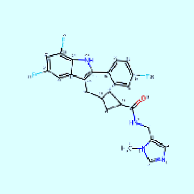 Cn1cncc1CNC(=O)C1CC(Cc2c(-c3ccc(F)cc3)[nH]c3c(F)cc(F)cc23)C1